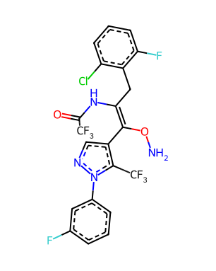 NO/C(=C(\Cc1c(F)cccc1Cl)NC(=O)C(F)(F)F)c1cnn(-c2cccc(F)c2)c1C(F)(F)F